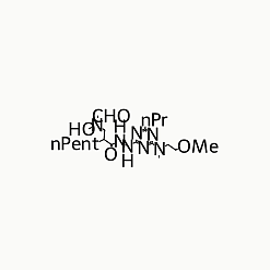 CCCCCC(CN(O)C=O)C(=O)NNc1nc(CCC)nc(N(C)CCOC)n1